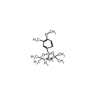 COc1ccc([Si](C)(O[Si](C)(C)C)O[Si](C)(C)C)cc1C